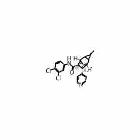 CC1C2C1[C@@H]1O[C@H]2[C@H](C(=O)Nc2ccc(Cl)c(Cl)c2)[C@H]1c1ccncc1